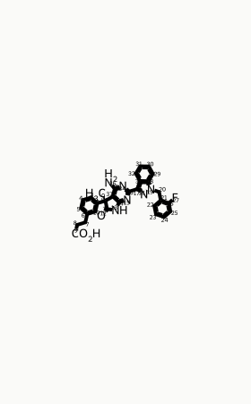 C[C@@]1(c2cccc(CCC(=O)O)c2)C(=O)Nc2nc(-c3nn(Cc4ccccc4F)c4ccccc34)nc(N)c21